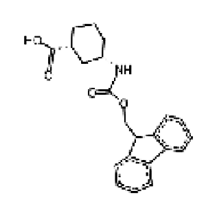 O=C(N[C@H]1CCC[C@@H](C(=O)O)C1)OCC1c2ccccc2-c2ccccc21